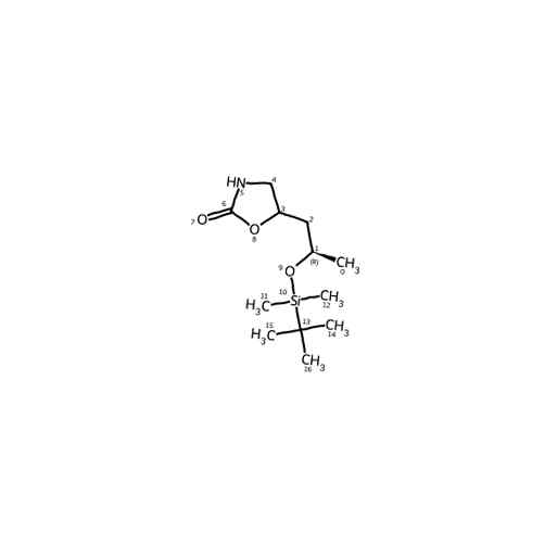 C[C@H](CC1CNC(=O)O1)O[Si](C)(C)C(C)(C)C